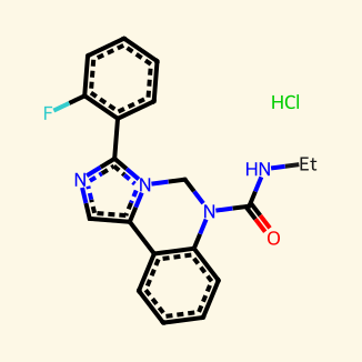 CCNC(=O)N1Cn2c(cnc2-c2ccccc2F)-c2ccccc21.Cl